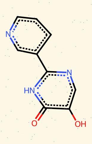 O=c1[nH]c(-c2cccnc2)ncc1O